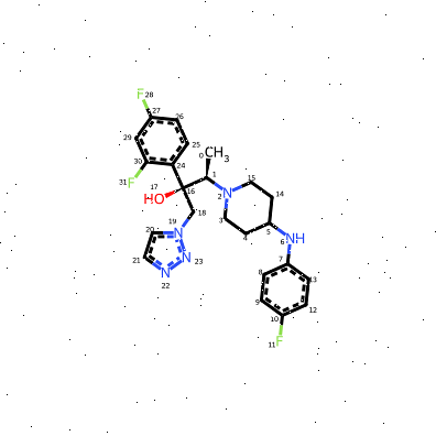 C[C@@H](N1CCC(Nc2ccc(F)cc2)CC1)[C@](O)(Cn1ccnn1)c1ccc(F)cc1F